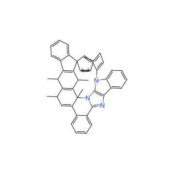 CC1C=C2c3ccccc3-c3nc4c5ccccc5n5c4n3C2(C)C2=C1C(C)C1=C(C2C)C2(c3ccccc31)c1ccccc1-c1ccc-5cc12